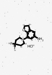 Cl.Nc1cc2c(c(N3CCC(F)(F)CC3)c1)OCC2